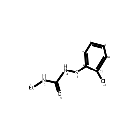 CCNC(=O)NSc1ccccc1Cl